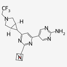 Nc1ncc(-c2cc(C3[C@H]4CN(CC(F)(F)F)C[C@@H]34)nc(N3CC4CC3C4)n2)cn1